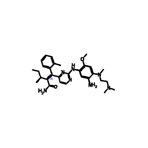 CCC(C)/C(C(N)=O)=C(/c1ccnc(Nc2cc(N)c(N(C)CCN(C)C)cc2OC)n1)c1ccccc1C